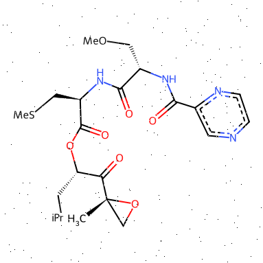 COC[C@H](NC(=O)c1cnccn1)C(=O)N[C@H](CSC)C(=O)O[C@@H](CC(C)C)C(=O)[C@@]1(C)CO1